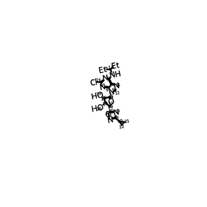 CCC(CC)Nc1nc(Cl)nc2c1ncn2[C@@H]1O[C@H](c2nc(C3CC3)no2)[C@@H](O)[C@H]1O